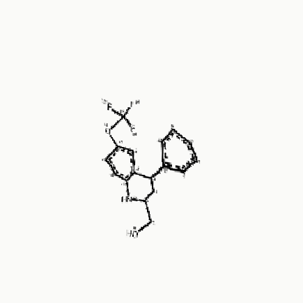 OCC1CC(c2ccccc2)c2cc(OC(F)(F)F)ccc2N1